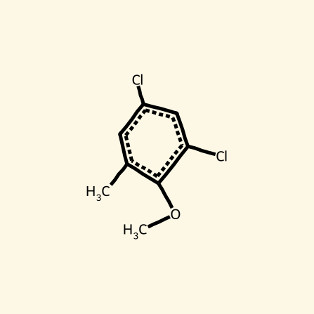 COc1c(C)cc(Cl)cc1Cl